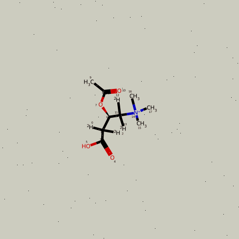 [2H]C([2H])(C(=O)O)[C@@H](OC(C)=O)C([2H])([2H])[N+](C)(C)C